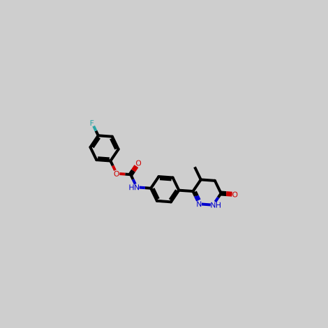 CC1CC(=O)NN=C1c1ccc(NC(=O)Oc2ccc(F)cc2)cc1